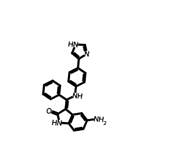 Nc1ccc2c(c1)C(=C(Nc1ccc(-c3c[nH]cn3)cc1)c1ccccc1)C(=O)N2